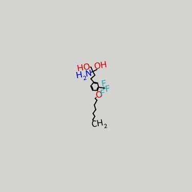 C=CCCCCCCOc1ccc(CCC(N)(CO)CO)cc1C(F)(F)F